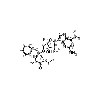 CCOC(=O)[C@@H](C)N[P@](=S)(OC[C@@]1(F)O[C@@H](n2cnc3c(N(C)C)nc(N)nc32)[C@](C)(F)[C@@H]1O)Oc1ccccc1